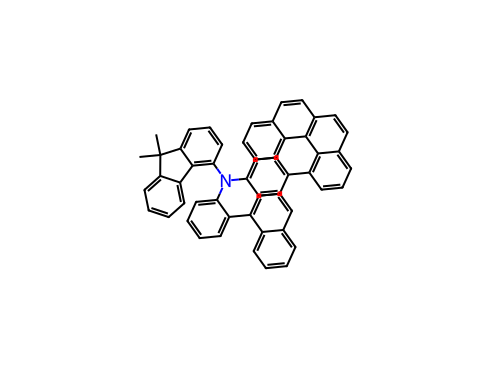 CC1(C)c2ccccc2-c2c(N(c3ccc(-c4cccc5ccc6ccc7ccccc7c6c45)cc3)c3ccccc3-c3cccc4ccccc34)cccc21